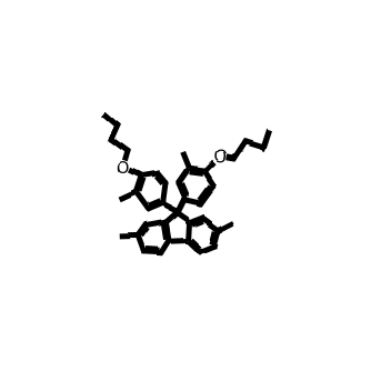 CCCCOc1ccc(C2(c3ccc(OCCCC)c(C)c3)c3cc(C)ccc3-c3ccc(C)cc32)cc1C